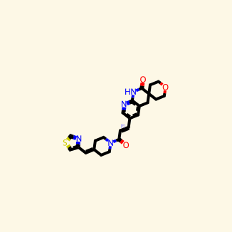 O=C(/C=C/c1cnc2c(c1)CC1(CCOCC1)C(=O)N2)N1CCC(=Cc2cscn2)CC1